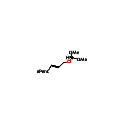 CCCCCC=CCO[SiH](OC)OC